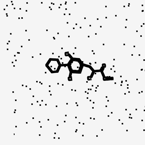 COC(=O)C(Cl)Cc1cc(Cl)c(C2CCCCC2)c(Cl)c1